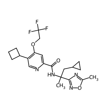 Cc1nc(C(C)(CC2CC2)NC(=O)c2cc(OCC(F)(F)F)c(C3CCC3)cn2)no1